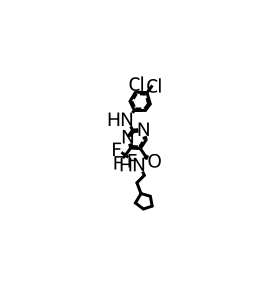 O=C(NCCC1CCCC1)c1cnc(Nc2ccc(Cl)c(Cl)c2)nc1C(F)(F)F